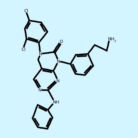 NCCc1cccc(N2C(=O)N(c3ccc(Cl)cc3Cl)Cc3cnc(Nc4ccccc4)nc32)c1